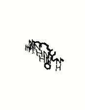 C=CNCC/C(NC1CCCCC1)=C(\CC)C(=N)/C(C)=C/C=C\C(=C\C(C=N)=C\NC)CN